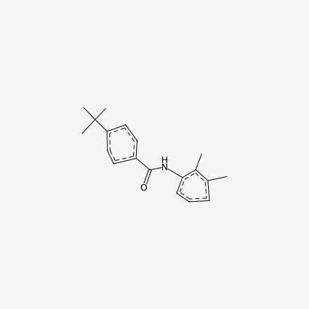 Cc1cccc(NC(=O)c2ccc(C(C)(C)C)cc2)c1C